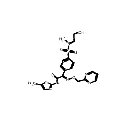 Cc1cnc(NC(=O)/C(=N/OCc2ncccn2)c2ccc(S(=O)(=O)N(C)CCO)cc2)s1